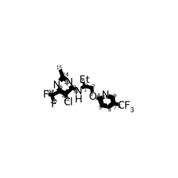 CC[C@@H](COc1ccc(C(F)(F)F)cn1)Nc1nc(C)nc(C(F)F)c1Cl